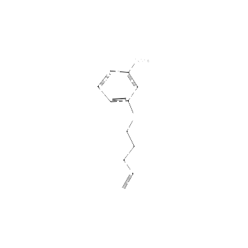 C=CCCCOc1cccc(NC)c1